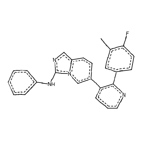 Cc1cc(-c2ncccc2-c2ccc3cnc(Nc4ccccc4)n3c2)ccc1F